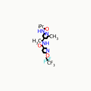 Cc1cc(C(C)NC(=O)c2ccc(OCC(F)(F)C(F)(F)F)nc2)cc(NC(=O)C(C)C)n1